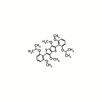 COc1cccc(OC(C)C)c1-c1sc2c(OC)c(-c3c(OC)cccc3OC(C)C)sc2c1OC